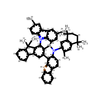 Cc1cc2c(cc1N1B3c4c(cc5c(c4-n4c6ccc(C(C)(C)C)cc6c6cc(C(C)(C)C)cc3c64)C(C)(C)c3ccccc3-5)-c3c1ccc1c3sc3ccccc31)C(C)(C)CCC2(C)C